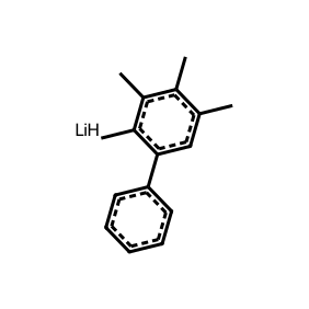 Cc1cc(-c2ccccc2)c(C)c(C)c1C.[LiH]